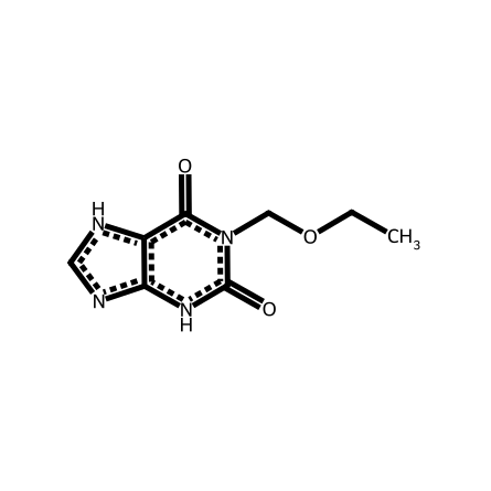 CCOCn1c(=O)[nH]c2nc[nH]c2c1=O